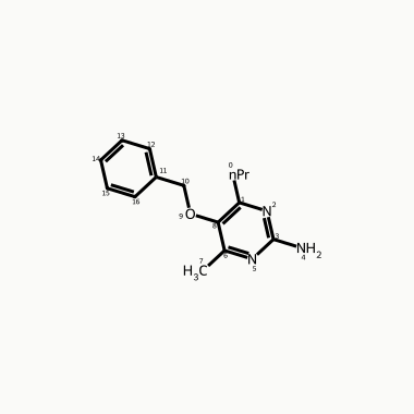 CCCc1nc(N)nc(C)c1OCc1ccccc1